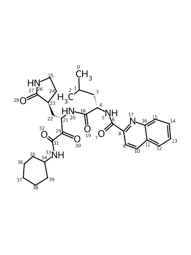 CC(C)C[C@H](NC(=O)c1ccc2ccccc2n1)C(=O)N[C@@H](C[C@@H]1CCNC1=O)C(=O)C(=O)NC1CCCCC1